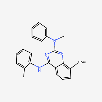 COc1cccc2c(Nc3ccccc3C)nc(N(C)c3ccccc3)nc12